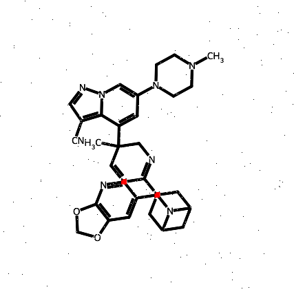 CN1CCN(c2cc(C3(C)C=NC(N4CC5CC(C4)N5Cc4cnc5c(c4)OCO5)=NC3)c3c(C#N)cnn3c2)CC1